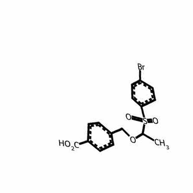 CC(OCc1ccc(C(=O)O)cc1)S(=O)(=O)c1ccc(Br)cc1